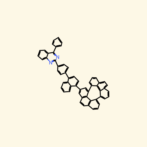 c1ccc(-c2nc(-c3ccc(-c4ccc(-c5cc6ccc7cccc8c9cccc%10ccc%11cccc(c(c5)c6c78)c%11c%109)c5ccccc45)cc3)nc3ccccc23)cc1